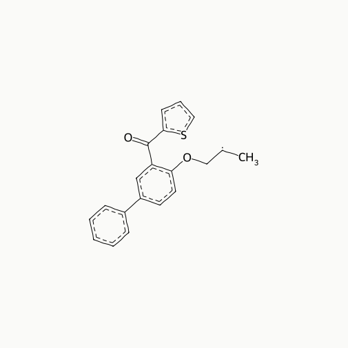 C[CH]COc1ccc(-c2ccccc2)cc1C(=O)c1cccs1